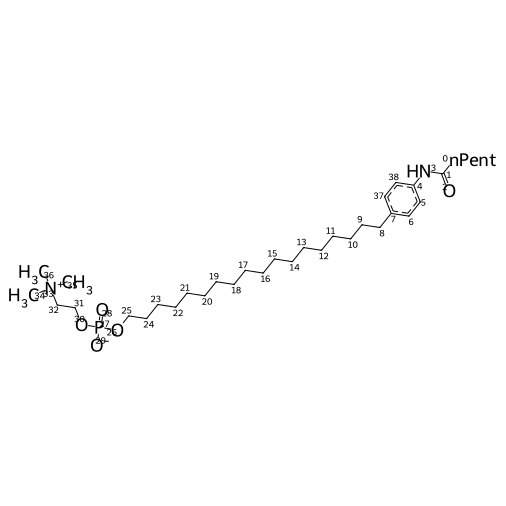 CCCCCC(=O)Nc1ccc(CCCCCCCCCCCCCCCCCCOP(=O)([O-])OCC[N+](C)(C)C)cc1